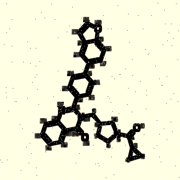 O=C(C1CC1)N1CC[C@@H](Cn2c(-c3ccc(-c4ccc5occc5c4)cc3)nc3ccccc3c2=O)C1